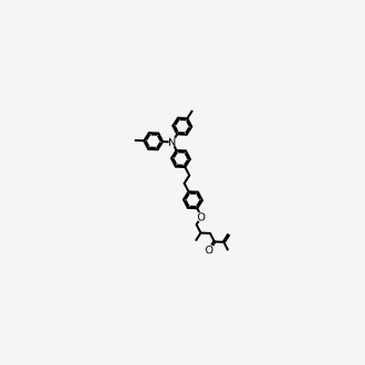 C=C(C)C(=O)CC(C)COc1ccc(CCc2ccc(N(c3ccc(C)cc3)c3ccc(C)cc3)cc2)cc1